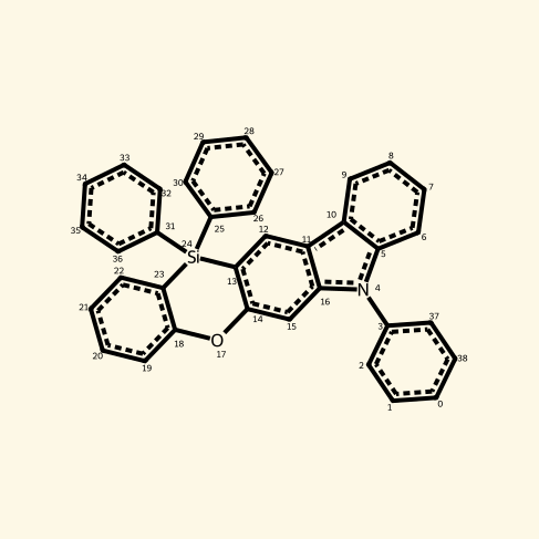 c1ccc(-n2c3ccccc3c3cc4c(cc32)Oc2ccccc2[Si]4(c2ccccc2)c2ccccc2)cc1